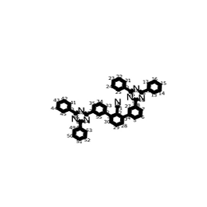 N#Cc1c(-c2cccc(-c3nc(-c4ccccc4)nc(-c4ccccc4)n3)c2)cccc1-c1cccc(-c2nc(-c3ccccc3)nc(-c3ccccc3)n2)c1